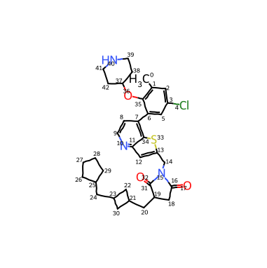 Cc1cc(Cl)cc(-c2ccnc3cc(CN4C(=O)CC(CC5CC(CC6CCCC6)C5)C4=O)sc23)c1OC1CCNCC1